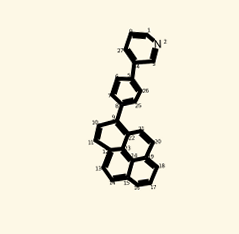 c1cncc(-c2ccc(-c3ccc4ccc5cccc6ccc3c4c56)cc2)c1